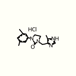 Cc1cc(C)cc(N2CCN(Cc3nc[nH]c3C)C2=O)c1.Cl